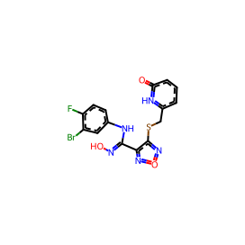 O=c1cccc(CSc2nonc2/C(=N/O)Nc2ccc(F)c(Br)c2)[nH]1